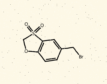 O=S1(=O)COc2ccc(CBr)cc21